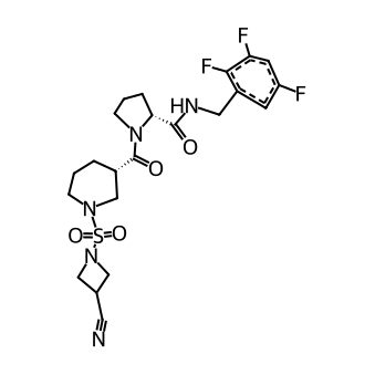 N#CC1CN(S(=O)(=O)N2CCC[C@H](C(=O)N3CCC[C@@H]3C(=O)NCc3cc(F)cc(F)c3F)C2)C1